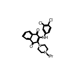 CC(C)N1CCN(C2=C(Nc3ccc(Cl)c(Cl)c3)C(=O)c3ccccc3C2=O)CC1